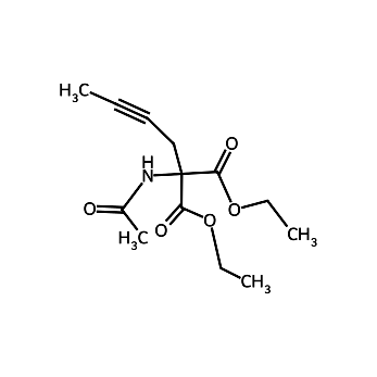 CC#CCC(NC(C)=O)(C(=O)OCC)C(=O)OCC